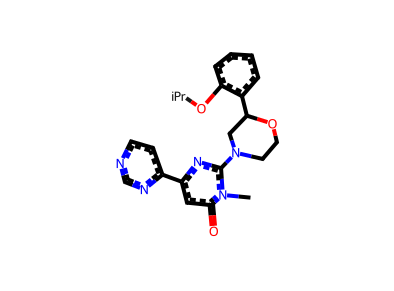 CC(C)Oc1ccccc1C1CN(c2nc(-c3ccncn3)cc(=O)n2C)CCO1